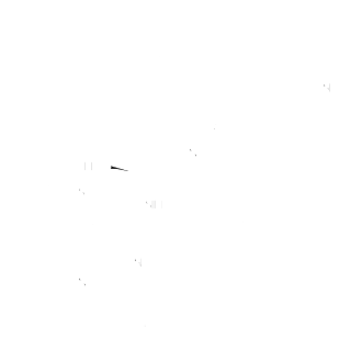 Cc1cc(-c2cccc3cc([C@H](C)Nc4nc(C)nc5cccnc45)n(-c4ccccc4)c(=O)c23)ccn1